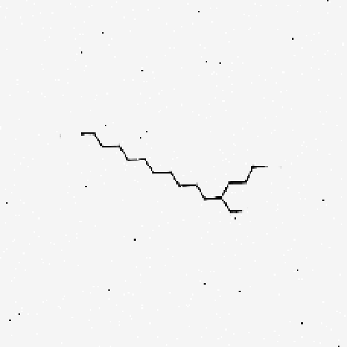 CCCCCCCCCCCCCCCCCCCCC(CO)CCCCCCCCCCCCC